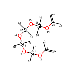 C=C(C)O[Si](C)(C)O[Si](C)(C)O[Si](C)(C)O[Si](C)(C)OC(=C)C